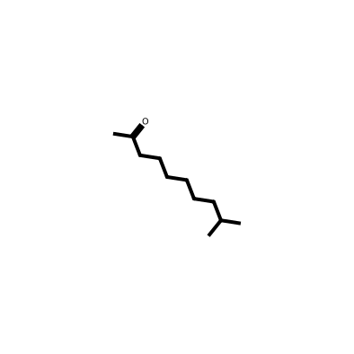 CC(=O)CCCCCCC(C)C